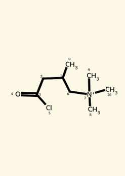 CC(CC(=O)Cl)C[N+](C)(C)C